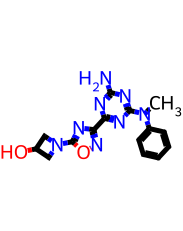 CN(c1ccccc1)c1nc(N)nc(-c2noc(N3CC(O)C3)n2)n1